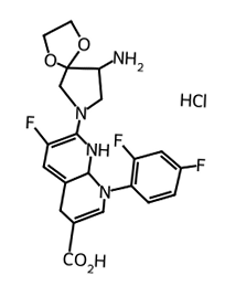 Cl.NC1CN(C2=C(F)C=C3CC(C(=O)O)=CN(c4ccc(F)cc4F)C3N2)CC12OCCO2